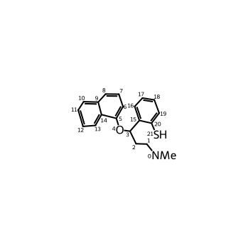 CNCCC(Oc1cccc2ccccc12)c1ccccc1S